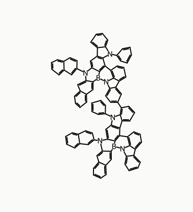 c1ccc(-n2c3ccccc3c3cc4c5c(c32)-c2cccc3c6cc(-c7cccc8c9c%10c%11c(cc9n(-c9ccccc9)c78)N(c7ccc8ccccc8c7)c7cc8ccccc8cc7B%11n7c8ccccc8c8cccc-%10c87)ccc6n(c23)B5c2cc3ccccc3cc2N4c2ccc3ccccc3c2)cc1